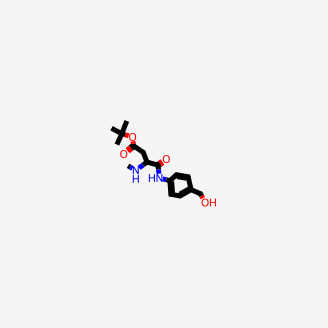 CNC(CC(=O)OC(C)(C)C)C(=O)Nc1ccc(CO)cc1